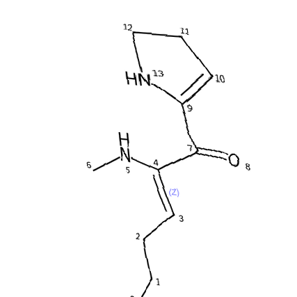 CCC/C=C(\NC)C(=O)C1=CCCN1